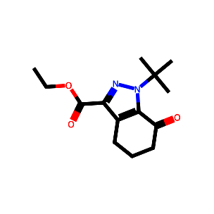 CCOC(=O)c1nn(C(C)(C)C)c2c1CCCC2=O